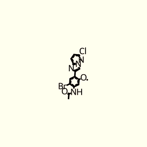 COc1cc(NC(C)=O)c(Br)cc1-c1cn2nc(Cl)ccc2n1